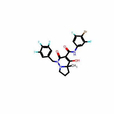 CC12CCCN1N(Cc1cc(F)c(F)c(F)c1)C(=O)C(C(=O)Nc1cc(F)c(Br)c(F)c1)=C2O